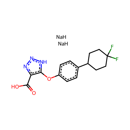 O=C(O)c1nn[nH]c1Oc1ccc(C2CCC(F)(F)CC2)cc1.[NaH].[NaH]